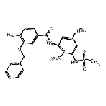 COc1c(NC(=O)c2ccc(C)c(OCc3ccccc3)c2)cc(C(C)(C)C)cc1NS(C)(=O)=O